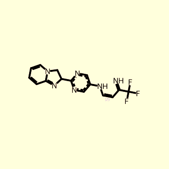 N=C(/C=C\Nc1cnc(C2CN3C=CC=CC3=N2)nc1)C(F)(F)F